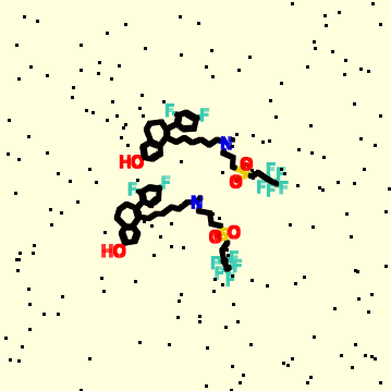 CN(CCCCCCC1=C(c2ccc(F)cc2F)CCCc2cc(O)ccc21)CCCCS(=O)(=O)CCC(F)(F)C(F)(F)F.CN(CCCCCCC1=C(c2ccc(F)cc2F)CCCc2cc(O)ccc21)CCCS(=O)(=O)CCC(F)(F)C(F)(F)F